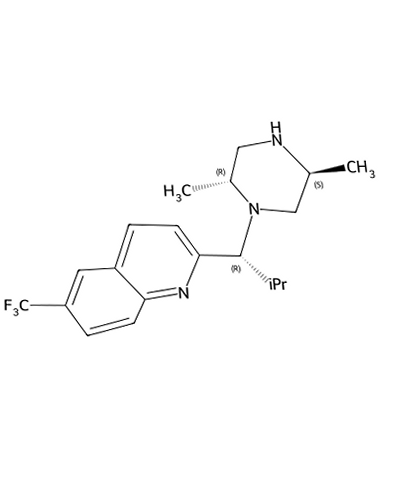 CC(C)[C@H](c1ccc2cc(C(F)(F)F)ccc2n1)N1C[C@H](C)NC[C@H]1C